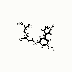 CCCCC(CC)COC(=O)CCSc1cc(-c2cnn(C)c2)cc(C(F)(F)F)c1